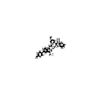 CC(=O)c1nn(CC(=O)N2C[C@H](F)C[C@@H]2C(=O)Nc2ccccn2)c2cnc(-c3cnc(C)nc3)cc12